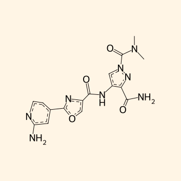 CN(C)C(=O)n1cc(NC(=O)c2coc(-c3ccnc(N)c3)n2)c(C(N)=O)n1